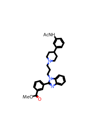 COC(=O)c1cccc(-c2nc3ccccc3n2CCCN2CCC(c3cccc(NC(C)=O)c3)CC2)c1